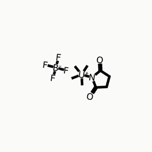 F[B-](F)(F)F.[CH3][U+]([CH3])([CH3])([CH3])[N]1C(=O)CCC1=O